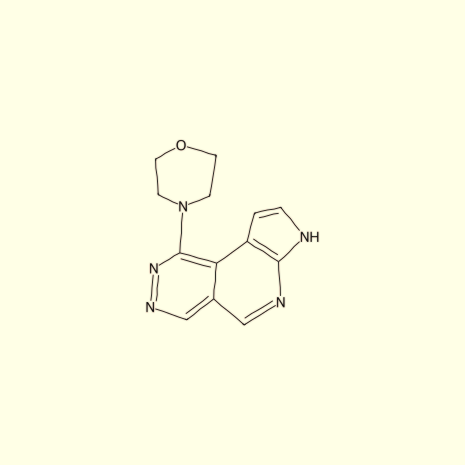 c1cc2c(ncc3cnnc(N4CCOCC4)c32)[nH]1